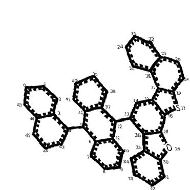 c1ccc2c(-c3c4ccccc4c(-c4cc5c(sc6ccc7ccccc7c65)c5oc6ccccc6c45)c4ccccc34)cccc2c1